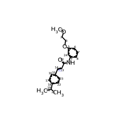 COCCOc1cccc(NC(=O)/C=C/c2ccc(C(C)C)cc2)c1